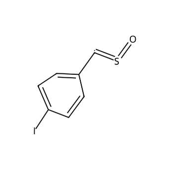 O=S=[C]c1ccc(I)cc1